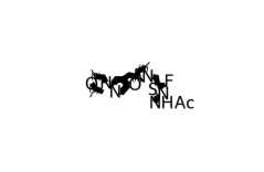 CC(=O)Nc1nc(F)c(CN2C[C@@]3(Cc4cc(N5C[C@@H](C)O[C@@H](C)C5)ncc4O3)C[C@@H]2C)s1